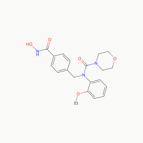 CCOc1ccccc1N(Cc1ccc(C(=O)NO)cc1)C(=O)N1CCOCC1